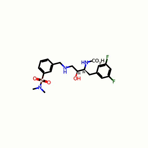 CN(C)S(=O)(=O)c1cccc(CNC[C@H](O)[C@H](Cc2cc(F)cc(F)c2)NC(=O)O)c1